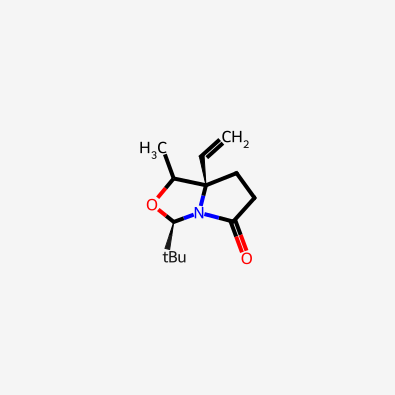 C=C[C@@]12CCC(=O)N1[C@@H](C(C)(C)C)OC2C